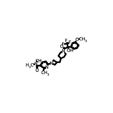 COc1cccc([C@@](O)(C(=O)N2CCC(CC3CN(c4ccc(C(=O)N(C)C)c(C)n4)C3)CC2)C(F)(F)F)c1